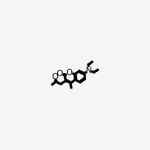 CCN(CC)c1ccc2c(C)c(CC(C)=O)c(=O)oc2c1